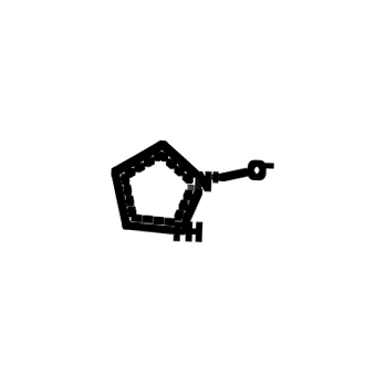 [O-][n+]1ccc[pH]1